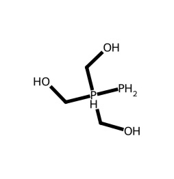 OC[PH](P)(CO)CO